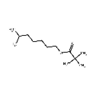 CC(C)CCCCCOC(=O)C(C)(C)C